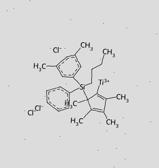 CCCC[Si](c1ccccc1)(c1cc(C)cc(C)c1)C1(C)C(C)=C(C)C(C)=[C]1[Ti+3].[Cl-].[Cl-].[Cl-]